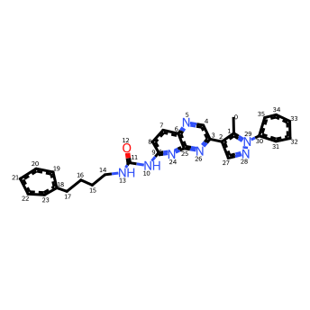 Cc1c(-c2cnc3ccc(NC(=O)NCCCCc4ccccc4)nc3n2)cnn1-c1ccccc1